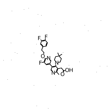 Cc1ncc(-c2cnc(OCCc3ccc(F)c(F)c3)c(F)c2)c(N2CCC(C)(C)CC2)c1CC(=O)O